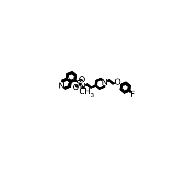 CN(CCC1CCN(CCOc2ccc(F)cc2)CC1)S(=O)(=O)c1cccc2cnccc12